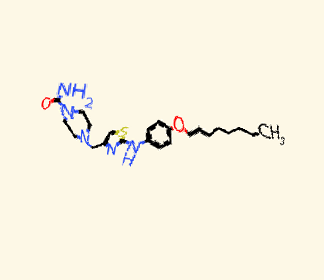 CCCCCCCCOc1ccc(Nc2nc(CN3CCN(C(N)=O)CC3)cs2)cc1